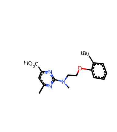 Cc1cc(C(=O)O)nc(N(C)CCOc2ccccc2C(C)(C)C)n1